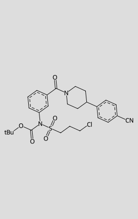 CC(C)(C)OC(=O)N(c1cccc(C(=O)N2CCC(c3ccc(C#N)cc3)CC2)c1)S(=O)(=O)CCCCl